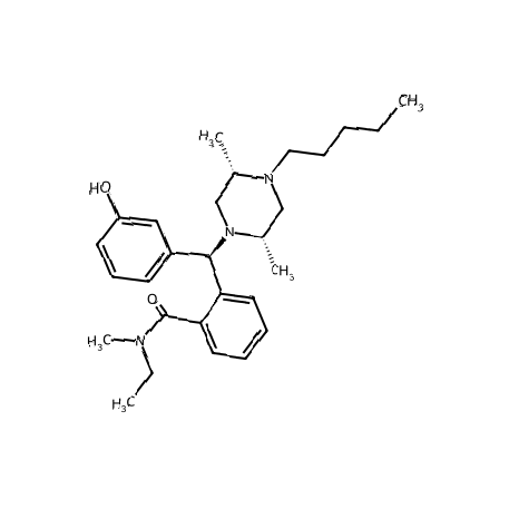 CCCCCN1C[C@H](C)N([C@H](c2cccc(O)c2)c2ccccc2C(=O)N(C)CC)C[C@@H]1C